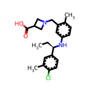 CC[C@@H](Nc1ccc(C)c(CN2CC(C(=O)O)C2)c1)c1ccc(Cl)c(C)c1